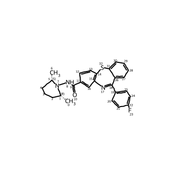 C[C@@H]1CCC[C@H](C)N1NC(=O)c1ccc2c(c1)N=C(c1ccc(F)cc1)c1ccccc1S2